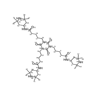 CC1(C)CC(NC(=O)CCCCn2c(=O)n(CCCCC(=O)NC3CC(C)(C)NC(C)(C)C3)c(=O)n(CCCCC(=O)NC3CC(C)(C)NC(C)(C)C3)c2=O)CC(C)(C)N1